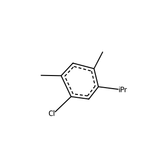 Cc1cc(C)c(C(C)C)cc1Cl